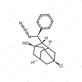 [N-]=[N+]=N[C@@H](c1ccccc1)[C@@H]1[C@@H]2C[C@H]3C[C@@](Cl)(C2)C[C@]1(O)C3